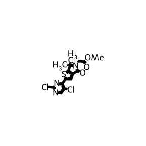 COC(=O)CN1C(=O)c2cc(-c3nc(Cl)ncc3Cl)sc2C1(C)C